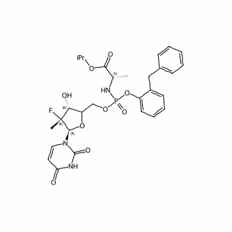 CC(C)OC(=O)[C@H](C)NP(=O)(OCC1O[C@@H](n2ccc(=O)[nH]c2=O)[C@](C)(F)[C@@H]1O)Oc1ccccc1Cc1ccccc1